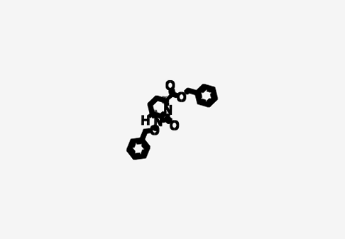 O=C(OCc1ccccc1)[C@@H]1CC[C@@H]2CN1C(=O)N2OCc1ccccc1